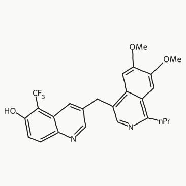 CCCc1ncc(Cc2cnc3ccc(O)c(C(F)(F)F)c3c2)c2cc(OC)c(OC)cc12